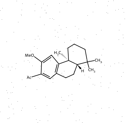 COc1cc2c(cc1C(C)=O)CC[C@H]1C(C)(C)CCC[C@]21C